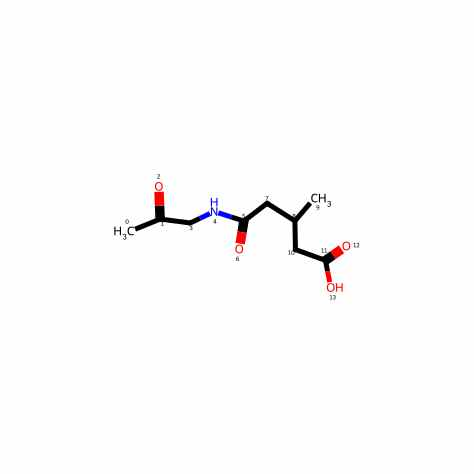 CC(=O)CNC(=O)CC(C)CC(=O)O